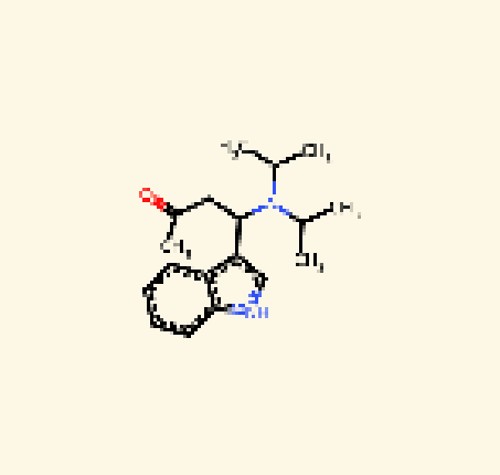 CC(=O)CC(c1c[nH]c2ccccc12)N(C(C)C)C(C)C